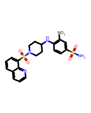 NS(=O)(=O)c1ccc(NC2CCN(S(=O)(=O)c3cccc4cccnc34)CC2)c([N+](=O)[O-])c1